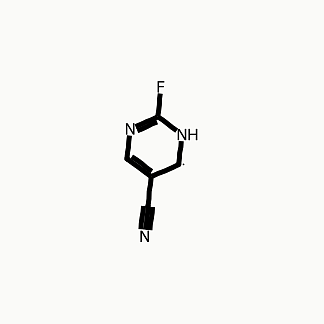 N#CC1=CN=C(F)N[CH]1